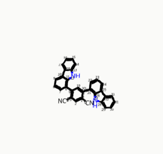 N#Cc1cc(C#N)c(-c2cccc3c2[nH]c2ccccc23)cc1-c1cccc2c1[nH]c1ccccc12